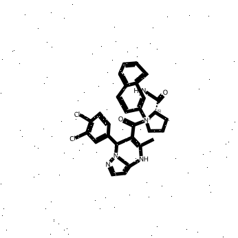 CC1=C(C(=O)[N+]2(c3ccc4ccccc4c3)CCC[C@H]2C(N)=O)C(c2ccc(Cl)c(Cl)c2)n2nccc2N1